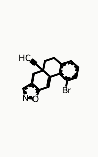 C#CC12CCc3cccc(Br)c3C1=Cc1oncc1C2